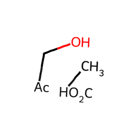 CC(=O)CO.CC(=O)O